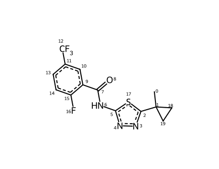 CC1(c2nnc(NC(=O)c3cc(C(F)(F)F)ccc3F)s2)CC1